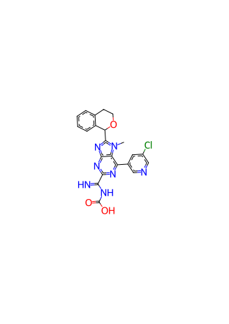 Cn1c(C2OCCc3ccccc32)nc2nc(C(=N)NC(=O)O)nc(-c3cncc(Cl)c3)c21